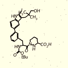 CC(C)(CO)Cc1c(I)[nH]c2ccc(-c3cccc(CC(NC(=O)OC(C)(C)C)C(=O)N4CCCC(C(=O)O)N4)c3)cc12